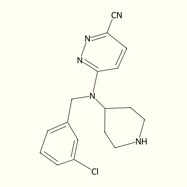 N#Cc1ccc(N(Cc2cccc(Cl)c2)C2CCNCC2)nn1